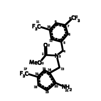 COC(=O)N(Cc1cc(C(F)(F)F)cc(C(F)(F)F)c1)Cc1cc(C(F)(F)F)ccc1N